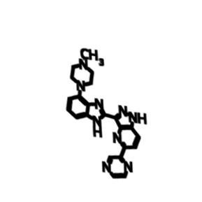 CN1CCN(c2cccc3[nH]c(-c4n[nH]c5ccc(-c6cnccn6)nc45)nc23)CC1